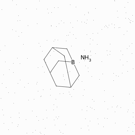 C1B2CC3CC1CC(C2)C3.N